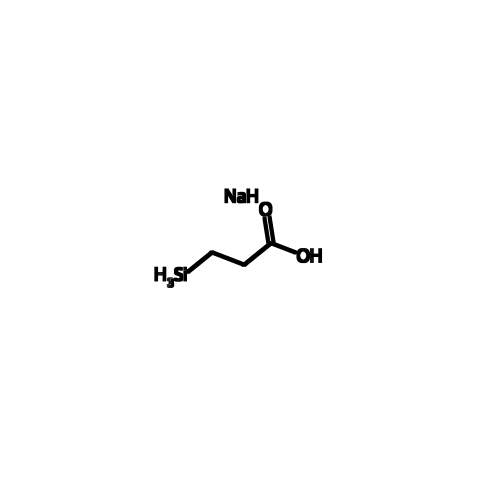 O=C(O)CC[SiH3].[NaH]